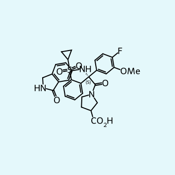 COc1cc([C@@](Nc2ccc3c(c2)C(=O)NC3)(C(=O)N2CCC(C(=O)O)C2)c2ccccc2S(=O)(=O)C2CC2)ccc1F